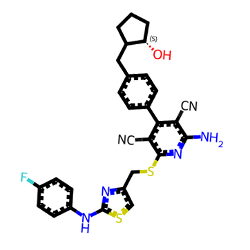 N#Cc1c(N)nc(SCc2csc(Nc3ccc(F)cc3)n2)c(C#N)c1-c1ccc(CC2CCC[C@@H]2O)cc1